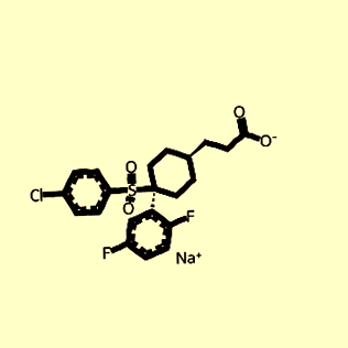 O=C([O-])CC[C@H]1CC[C@@](c2cc(F)ccc2F)(S(=O)(=O)c2ccc(Cl)cc2)CC1.[Na+]